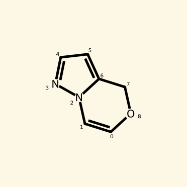 C1=Cn2nccc2CO1